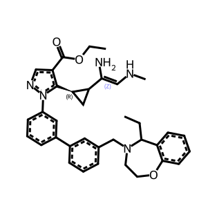 CCOC(=O)c1cnn(-c2cccc(-c3cccc(CN4CCOc5ccccc5C4CC)c3)c2)c1[C@@H]1CC1/C(N)=C/NC